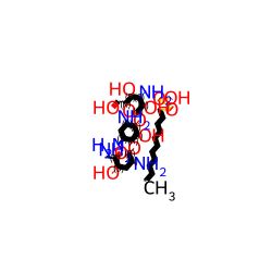 CCCCCCCCCCCCS(=O)(=O)O.NC[C@H]1O[C@H](O[C@H]2[C@H](O)[C@@H](O[C@H]3O[C@H](CO)[C@@H](O)[C@H](N)[C@H]3O)[C@H](N)C[C@@H]2N)[C@H](N)C[C@@H]1O